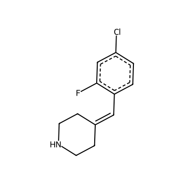 Fc1cc(Cl)ccc1C=C1CCNCC1